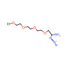 CCOCCOCCOCCOCC(N)N=[N+]=[N-]